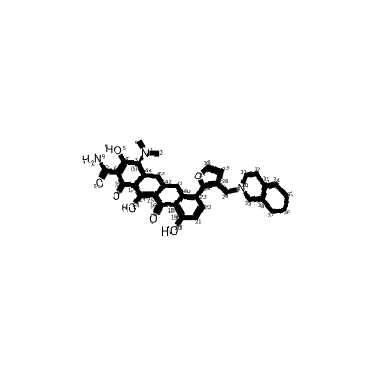 CN(C)[C@@H]1C(O)=C(C(N)=O)C(=O)C2C(O)=C3C(=O)c4c(O)ccc(-c5occc5CN5CCC6CCCCC6C5)c4CC3CC21